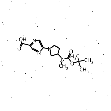 CN(C(=O)OC(C)(C)C)C1CCN(c2cnc(C(=O)O)cn2)C1